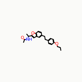 CCCOc1ccc(CCc2ccc3oc(C(C)NC(C)=O)cc3c2)cc1